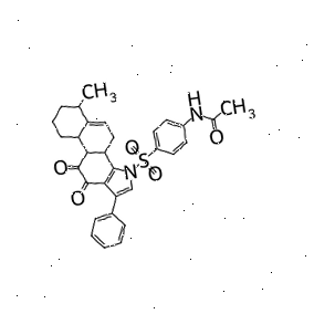 CC(=O)Nc1ccc(S(=O)(=O)n2cc(-c3ccccc3)c3c2C2CC=C4C(C)CCCC4C2C(=O)C3=O)cc1